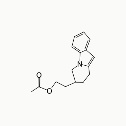 CC(=O)OCCC1CCc2cc3ccccc3n2C1